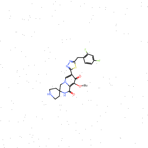 CCCCOc1c2n(cc(-c3nnc(Cc4ccc(F)cc4F)s3)c1=O)CC1(CCNCC1)NC2=O